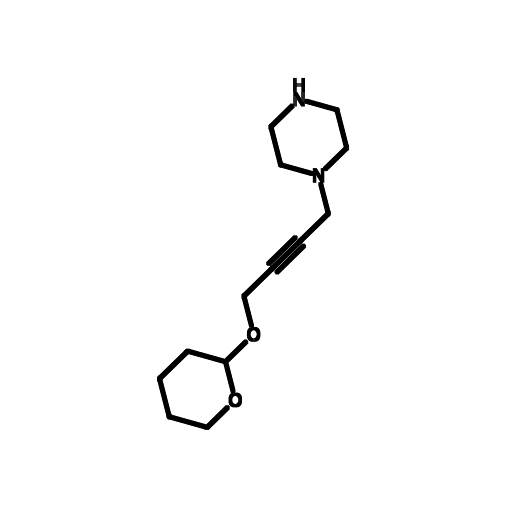 C(#CCN1CCNCC1)COC1CCCCO1